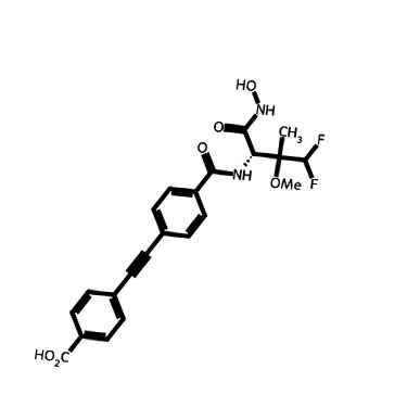 COC(C)(C(F)F)[C@H](NC(=O)c1ccc(C#Cc2ccc(C(=O)O)cc2)cc1)C(=O)NO